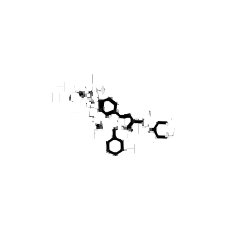 Cc1c(S(=O)(=O)NC(C)(C)C)ccc(-c2cc(C(=O)NC3CCOCC3)c(C)n2CC2CCCCC2)c1OC(F)F